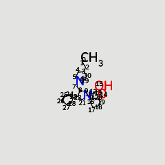 CCCC1CCN(CC2CN(C3(CC(=O)O)CCCCC3)CC2c2ccccc2)CC1